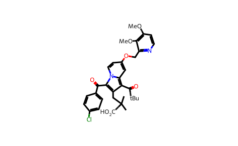 COc1ccnc(COc2ccn3c(C(=O)c4ccc(Cl)cc4)c(CC(C)(C)C(=O)O)c(C(=O)C(C)(C)C)c3c2)c1OC